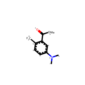 COC(=O)c1cc(N(C)C)ccc1C(F)(F)F